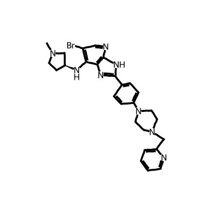 CN1CC[C@H](Nc2c(Br)cnc3[nH]c(-c4ccc(N5CCN(Cc6ccccn6)CC5)cc4)nc23)C1